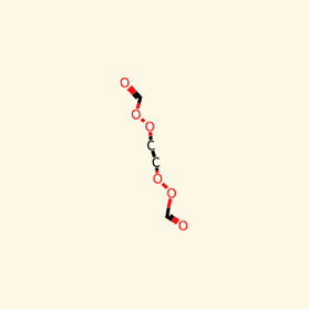 O=COOCCOOC=O